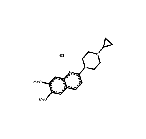 COc1cc2ccc(N3CCN(C4CC4)CC3)nc2cc1OC.Cl